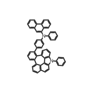 c1ccc(N(c2ccc(-c3cccc4c3-c3cccc5c3c3c6c-4cccc6ccc3n5-c3ccccc3)cc2)c2cc3ccccc3c3ccccc23)cc1